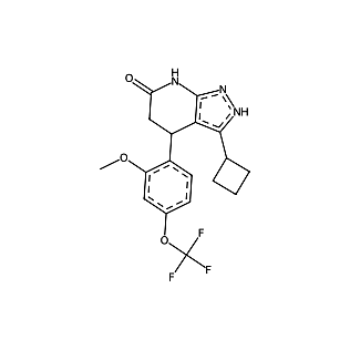 COc1cc(OC(F)(F)F)ccc1C1CC(=O)Nc2n[nH]c(C3CCC3)c21